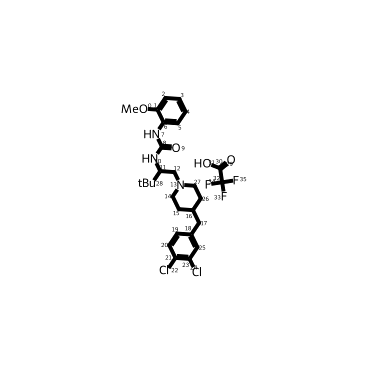 COc1ccccc1NC(=O)NC(CN1CCC(Cc2ccc(Cl)c(Cl)c2)CC1)C(C)(C)C.O=C(O)C(F)(F)F